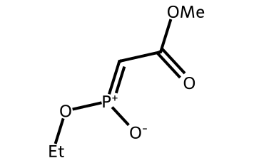 CCO[P+]([O-])=CC(=O)OC